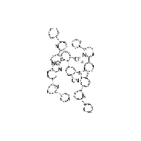 N#Cc1cc(-n2c3cc(-c4cccc(-c5ccccc5)n4)ccc3c3ccc(-c4cccc(-c5ccccc5)n4)cc32)c(-c2c(C#N)cccc2C(F)(F)F)cc1-n1c2cc(-c3cccc(-c4ccccc4)n3)ccc2c2ccc(-c3cccc(-c4ccccc4)n3)cc21